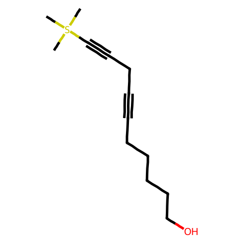 CS(C)(C)C#CCC#CCCCCCO